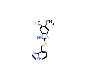 Cc1cc2nc(SCc3cccn4ccnc34)[nH]c2cc1C